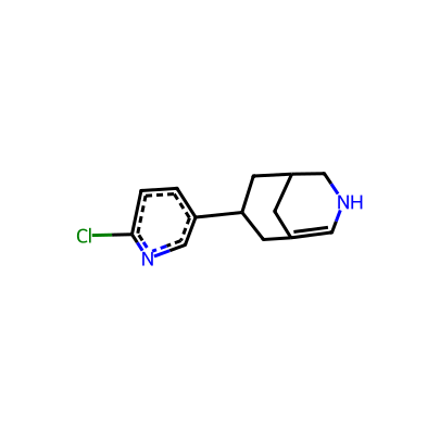 Clc1ccc(C2CC3=CNCC(C3)C2)cn1